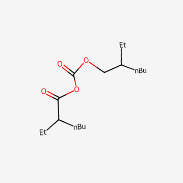 CCCCC(CC)COC(=O)OC(=O)C(CC)CCCC